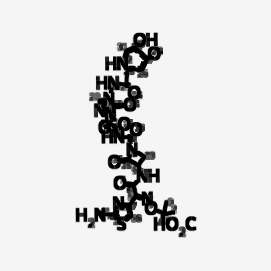 CC(C)(ON=C(C(=O)NC1CN(C(=O)NS(=O)(=O)n2ncn(NC(=O)c3cc(=O)c(O)c[nH]3)c2=O)C1=O)c1csc(N)n1)C(=O)O